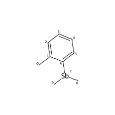 Cc1cccc[c]1[Sb]([CH3])[CH3]